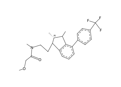 COCC(=O)N(C)CCC1c2cccc(-c3ccc(C(F)(F)F)cc3)c2C(C)[C@H]1C